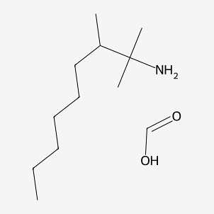 CCCCCCC(C)C(C)(C)N.O=CO